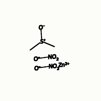 C[S+](C)[O-].O=[N+]([O-])[O-].O=[N+]([O-])[O-].[Zn+2]